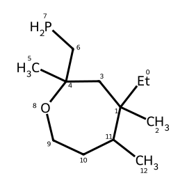 CCC1(C)CC(C)(CP)OCCC1C